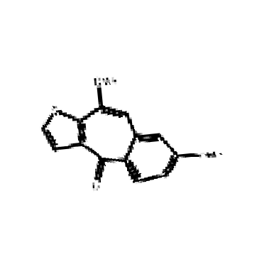 COc1ccc2c(=O)c3ccsc3c(OC)cc2c1